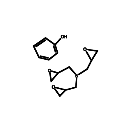 C1OC1CN(CC1CO1)CC1CO1.Oc1ccccc1